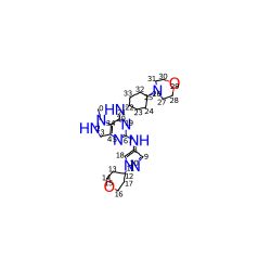 CN1NCc2nc(Nc3cnn(C4CCOCC4)c3)nc(N[C@H]3CC[C@H](N4CCOCC4)CC3)c21